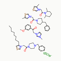 CCCCCCCCc1csc[n+]1CC(=O)N1CCN(Cc2ccccc2)CC1.COc1cccc(C(=O)C[n+]2ccn(C)c2)c1.Cc1c[n+](CC(=O)N2CCC(Cc3ccccc3)CC2)cs1.Cc1csc[n+]1CC(=O)N1C(C)CCCC1C.[Br-].[Cl-].[Cl-].[Cl-]